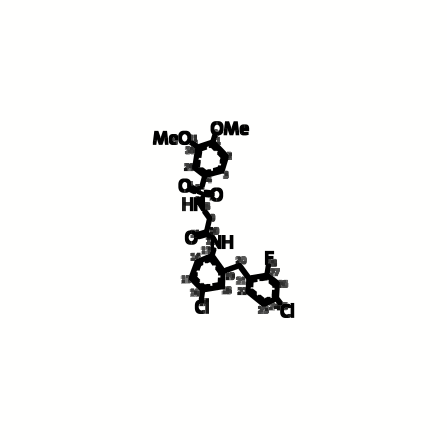 COc1ccc(S(=O)(=O)NCC(=O)Nc2ccc(Cl)cc2Cc2ccc(Cl)cc2F)cc1OC